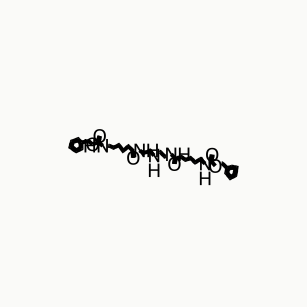 O=C(CCCCCNC(=O)OCc1ccccc1)NCCNCCNC(=O)CCCCCNC(=O)OCc1ccccc1